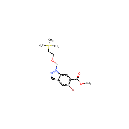 COC(=O)c1cc2c(cnn2COCCS(C)(C)C)cc1Br